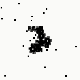 Cc1c(C(=O)N[C@@H]2CCCC[C@@H]2O)nn(-c2ccccc2Cl)c1-c1ccc(OS(=O)(=O)CCC(F)(F)F)cc1